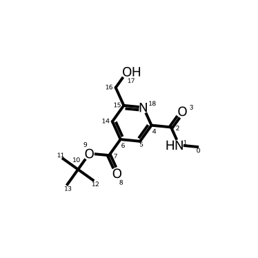 CNC(=O)c1cc(C(=O)OC(C)(C)C)cc(CO)n1